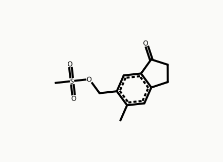 Cc1cc2c(cc1COS(C)(=O)=O)C(=O)CC2